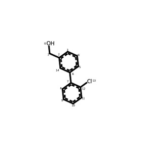 OCc1c[c]cc(-c2ccccc2Cl)c1